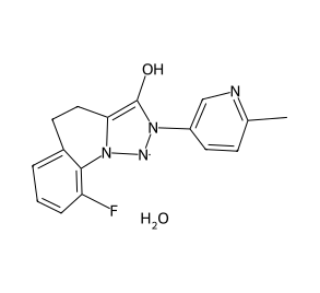 Cc1ccc(N2[N]N3C(=C2O)CCc2cccc(F)c23)cn1.O